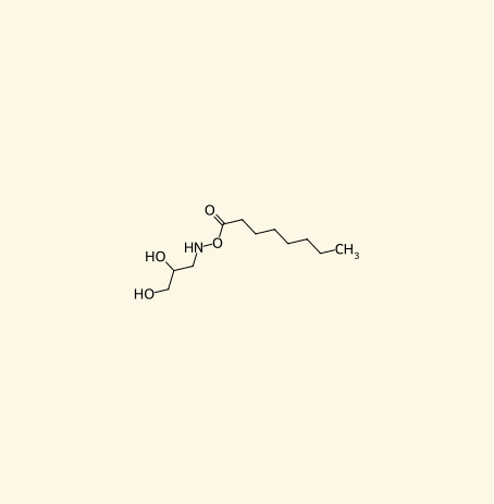 CCCCCCCC(=O)ONCC(O)CO